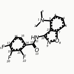 CN(C)c1cccc2onc(NC(=O)c3ccc(F)c(F)c3F)c12